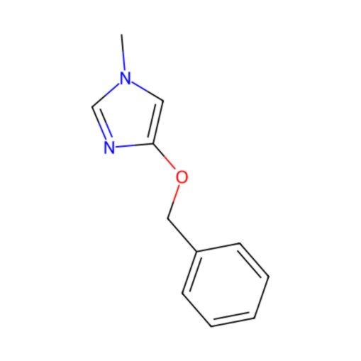 Cn1cnc(OCc2ccccc2)c1